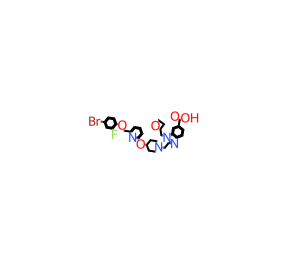 O=C(O)c1ccc2nc(CN3CCC(Oc4cccc(COc5ccc(Br)cc5F)n4)CC3)n(CC3CCO3)c2c1